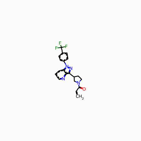 C=CC(=O)N1CCC(c2nn(-c3ccc(C(F)(F)F)cc3)c3cccnc23)C1